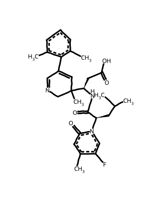 Cc1cc(=O)n([C@H](CC(C)C)C(=O)N[C@H](CC(=O)O)C2(C)C=C(c3c(C)cccc3C)C=NC2)cc1F